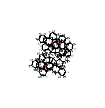 c1ccc2nc3c(C4(c5cccc6nc7ccccc7nc56)NC(c5cccc6nc7ccccc7nc56)(c5cccc6nc7ccccc7nc56)C(c5cccc6nc7ccccc7nc56)(c5cccc6nc7ccccc7nc56)NC4(c4cccc5nc6ccccc6nc45)c4cccc5nc6ccccc6nc45)cccc3nc2c1